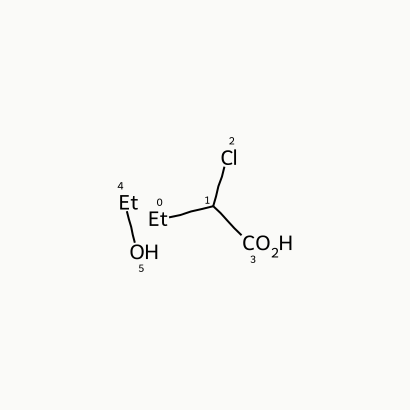 CCC(Cl)C(=O)O.CCO